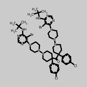 CC(C)(C)Nc1ncnc(N2CCN(N3CCC(C(=O)C4(c5ccc(Cl)cc5)CCN(N5CCN(c6ncnc(NC(C)(C)C)c6Br)CC5)CC4)(c4ccc(Cl)cc4)CC3)CC2)c1Br